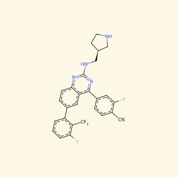 N#Cc1ccc(-c2nc(NC[C@H]3CCNC3)nc3ccc(-c4cccc(F)c4C(F)(F)F)cc23)cc1F